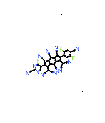 N#CC(C#N)=C1C(c2cc(F)c(C#N)cc2F)=C(C#N)c2c(C#N)c3c(c(C#N)c21)C(=C(C#N)C#N)C(c1cnc(C#N)nc1F)=C3C#N